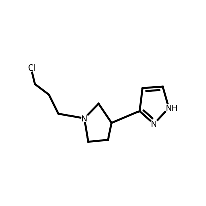 ClCCCN1CCC(c2cc[nH]n2)C1